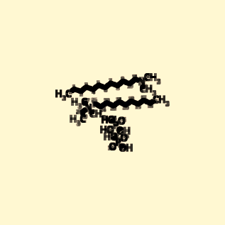 CCCCCCCCCCCCN(C)C.CCCCCCCCCCC[N+](C)(C)CC.O=P(O)(O)O.O=P([O-])(O)O